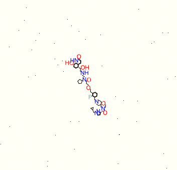 O=C(c1ccn(CC2CC2)n1)N1CCOC2(CCN(Cc3cccc(CCOCCC(=O)N(CCNC[C@H](O)c4ccc(O)c5[nH]c(=O)ccc45)C4CCCC4)c3F)CC2)C1